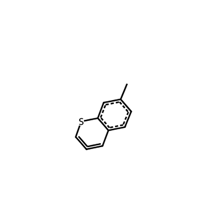 Cc1ccc2c(c1)SC=C=C2